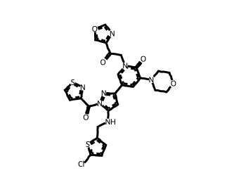 O=C(Cn1cc(-c2cc(NCc3ccc(Cl)s3)n(C(=O)c3ccsn3)n2)cc(N2CCOCC2)c1=O)c1cocn1